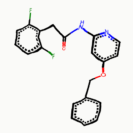 O=C(Cc1c(F)cccc1F)Nc1cc(OCc2ccccc2)ccn1